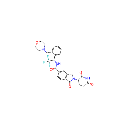 O=C1CCC(N2Cc3cc(C(=O)N[C@H](c4ccccc4CN4CCOCC4)C(F)(F)F)ccc3C2=O)C(=O)N1